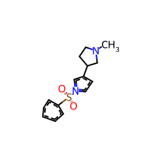 CN1CCC(c2ccn(S(=O)(=O)c3ccccc3)c2)C1